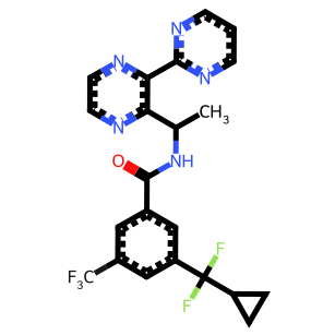 CC(NC(=O)c1cc(C(F)(F)F)cc(C(F)(F)C2CC2)c1)c1nccnc1-c1ncccn1